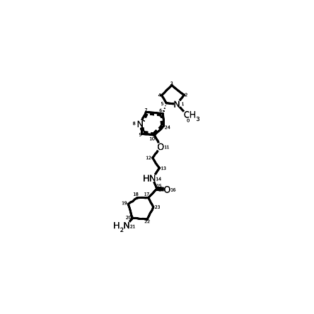 CN1CCC[C@H]1c1cncc(OCCNC(=O)C2CCC(N)CC2)c1